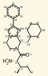 CC[C@@H](C)[C@H](N)C(=O)N1CCn2cc(-c3ccccc3)nc2[C@@H]1CC1CCCCC1